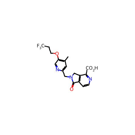 Cc1cc(CN2Cc3c(ccnc3C(=O)O)C2=O)ncc1OCCC(F)(F)F